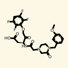 COc1cccc(CN2CCN(CC(=O)N[C@@H](CC(=O)O)C(=O)COc3c(F)c(F)cc(F)c3F)CC2=O)c1